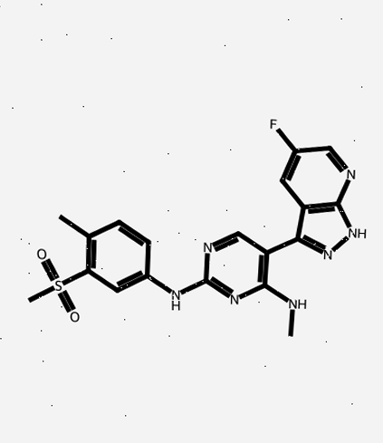 CNc1nc(Nc2ccc(C)c(S(C)(=O)=O)c2)ncc1-c1n[nH]c2ncc(F)cc12